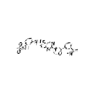 CS(=O)(=O)Nc1cccc(NCc2cc3nc(N4CCOC(c5cccc6[nH]ncc56)C4)ncc3s2)c1